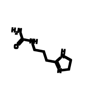 NC(=O)NCCCC1=NCCN1